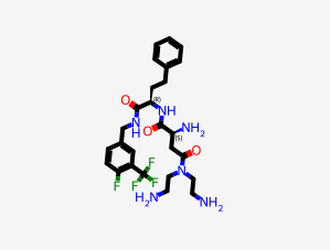 NCCN(CCN)C(=O)C[C@H](N)C(=O)N[C@H](CCc1ccccc1)C(=O)NCc1ccc(F)c(C(F)(F)F)c1